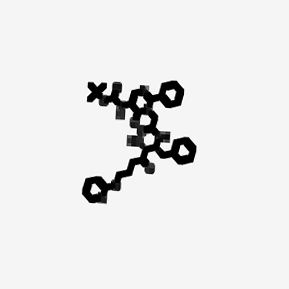 CC(C)(C)OC(=O)Nc1cnc(-c2ccccc2)n(CC(=O)N[C@@H](Cc2ccccc2)[C@@H](O)C(=O)CCCOc2ccccn2)c1=O